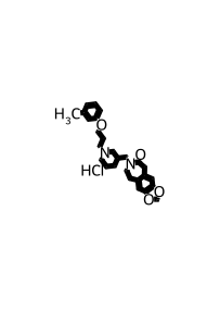 Cc1cccc(OCCCN2CCCC(CN3CCc4cc5c(cc4CC3=O)OCO5)C2)c1.Cl